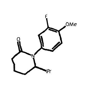 COc1ccc(N2C(=O)CCCC2C(C)C)cc1F